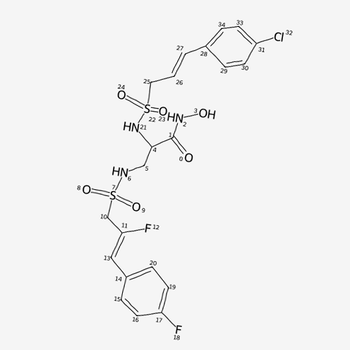 O=C(NO)C(CNS(=O)(=O)CC(F)=Cc1ccc(F)cc1)NS(=O)(=O)CC=Cc1ccc(Cl)cc1